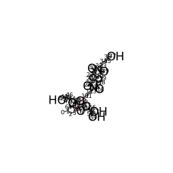 CC1CCC(C(=O)C(OCCCCCN2C(=O)c3ccc4c5c(ccc(c35)C2=O)C(=O)N(CCCCCO)C4=O)(C(C)(C)OCC(C)(C)CO)C(C)(C)OCC(C)(O)CO)CC1